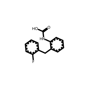 O=C(O)Nc1ccccc1Cc1ccccc1F